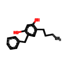 CCCCc1cc(Cc2ccccc2)c(O)cc1O